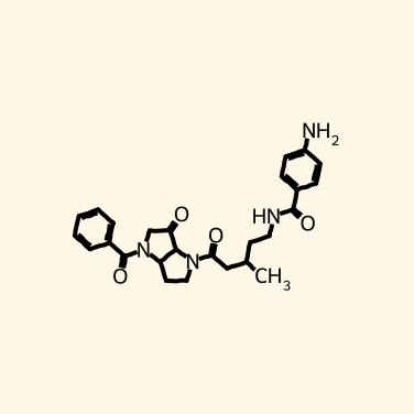 CC(CCNC(=O)c1ccc(N)cc1)CC(=O)N1CCC2C1C(=O)CN2C(=O)c1ccccc1